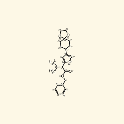 CC(C)[C@@H](C(=O)OCc1ccccc1)c1cc(C2CCC3(CC2)OCCO3)no1